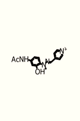 CC(=O)Nc1ccc(N(C)/N=C/c2cc[n+](C)cc2)c(O)c1